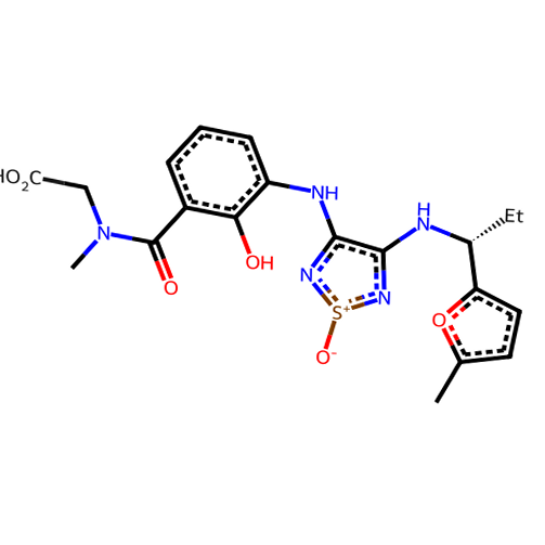 CC[C@@H](Nc1n[s+]([O-])nc1Nc1cccc(C(=O)N(C)CC(=O)O)c1O)c1ccc(C)o1